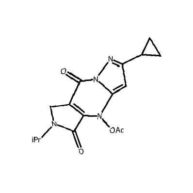 CC(=O)On1c2c(c(=O)n3nc(C4CC4)cc13)CN(C(C)C)C2=O